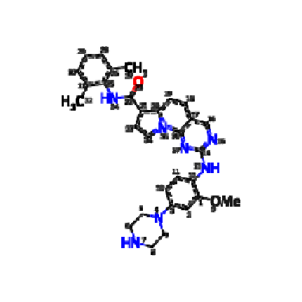 COc1cc(N2CCNCC2)ccc1Nc1ncc2ccc3c(C(=O)Nc4c(C)cccc4C)ccn3c2n1